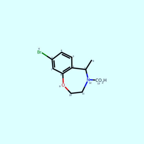 CC1c2ccc(Br)cc2OCCN1C(=O)O